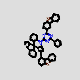 c1ccc(-c2nc(-c3ccc4sc5ccccc5c4c3)nc(N3c4ccccc4C4(c5ccccc5-c5ccccc54)c4cc(-c5cccc6sc7ccccc7c56)ccc43)n2)cc1